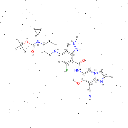 COc1c(NC(=O)c2c(F)cc(N3CCC(N(C(=O)OC(C)(C)C)C4CC4)CC3)c3cn(C)nc23)cn2cc(C)nc2c1C#N